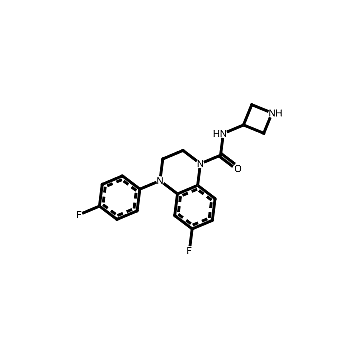 O=C(NC1CNC1)N1CCN(c2ccc(F)cc2)c2cc(F)ccc21